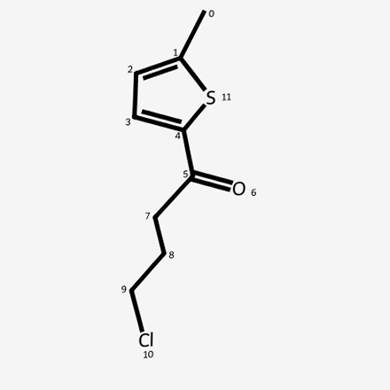 Cc1ccc(C(=O)CCCCl)s1